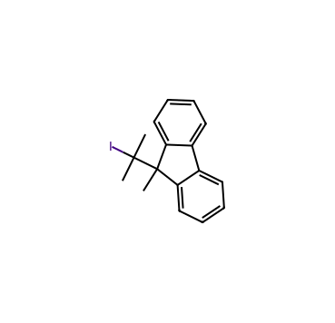 CC(C)(I)C1(C)c2ccccc2-c2ccccc21